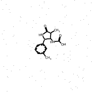 Cc1cccc(C2NC(=O)C(C)C2NC(=O)O)c1